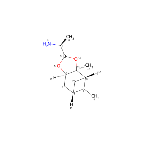 CC1[C@@H]2C[C@H]3OB([C@H](C)N)O[C@@]3(C)[C@H]1C2